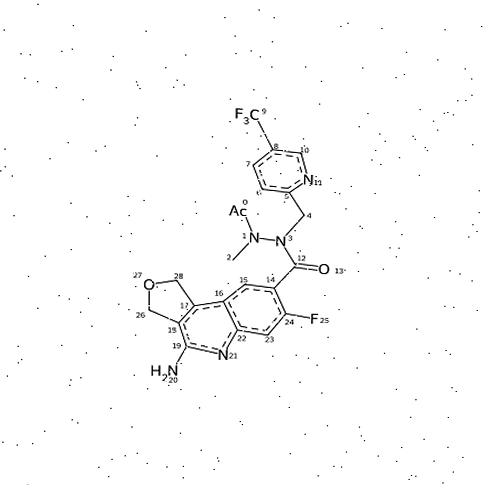 CC(=O)N(C)N(Cc1ccc(C(F)(F)F)cn1)C(=O)c1cc2c3c(c(N)nc2cc1F)COC3